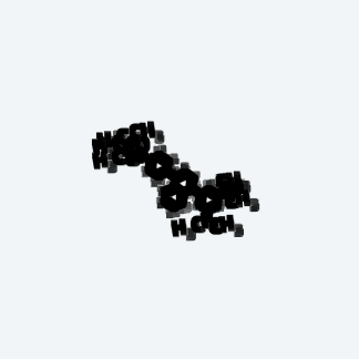 CP(C)c1cc(-c2ccc(-c3ccc(B4OC(C)(C)C(C)(C)O4)cc3)c3ccccc23)cc(P(C)(C)=O)c1